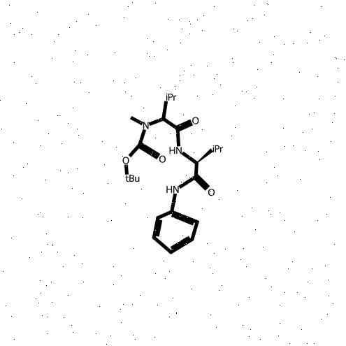 CC(C)C(C(=O)N[C@H](C(=O)Nc1ccccc1)C(C)C)N(C)C(=O)OC(C)(C)C